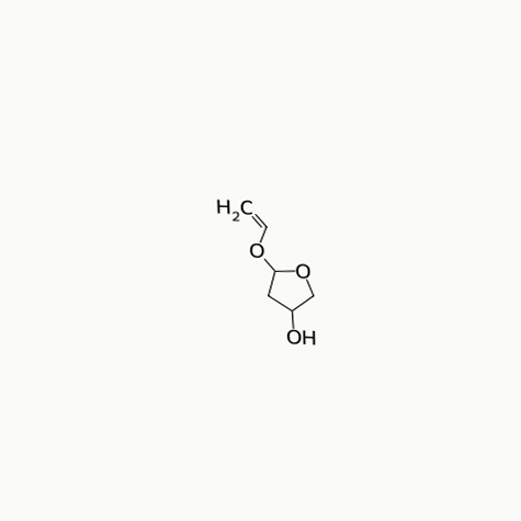 C=COC1CC(O)CO1